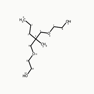 CCCC(C)(COCCO)COCCO